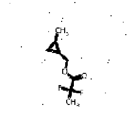 CC1CC1COC(=O)C(C)(F)F